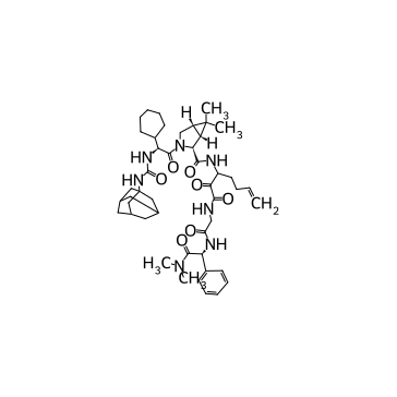 C=CCCC(NC(=O)[C@@H]1[C@@H]2[C@H](CN1C(=O)[C@@H](NC(=O)NC13CC4CC(CC(C4)C1)C3)C1CCCCC1)C2(C)C)C(=O)C(=O)NCC(=O)N[C@H](C(=O)N(C)C)c1ccccc1